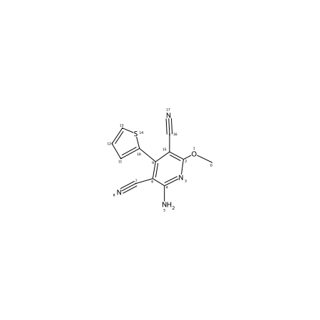 COc1nc(N)c(C#N)c(-c2cccs2)c1C#N